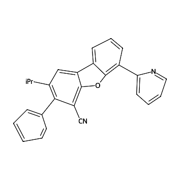 CC(C)c1cc2c(oc3c(-c4ccccn4)cccc32)c(C#N)c1-c1ccccc1